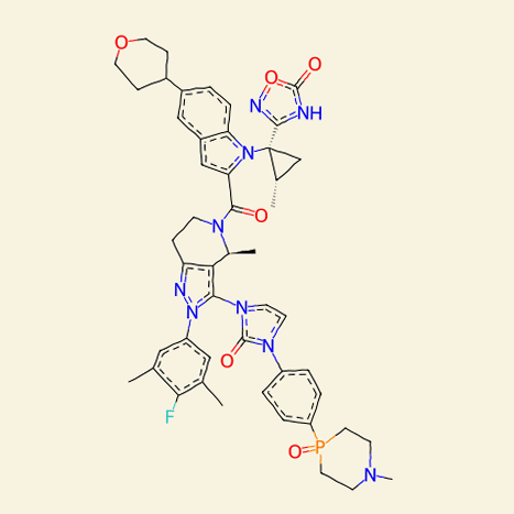 Cc1cc(-n2nc3c(c2-n2ccn(-c4ccc(P5(=O)CCN(C)CC5)cc4)c2=O)[C@H](C)N(C(=O)c2cc4cc(C5CCOCC5)ccc4n2[C@@]2(c4noc(=O)[nH]4)C[C@@H]2C)CC3)cc(C)c1F